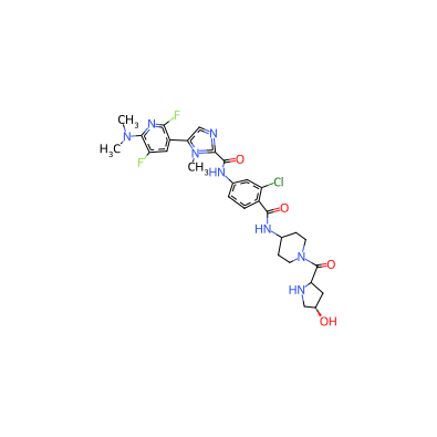 CN(C)c1nc(F)c(-c2cnc(C(=O)Nc3ccc(C(=O)NC4CCN(C(=O)C5C[C@@H](O)CN5)CC4)c(Cl)c3)n2C)cc1F